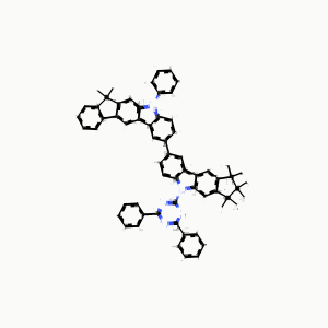 CC1(C)c2ccccc2-c2cc3c4cc(-c5ccc6c(c5)c5cc7c(cc5n6-c5nc(-c6ccccc6)nc(-c6ccccc6)n5)C(C)(C)C(C)(C)C7(C)C)ccc4n(-c4ccccc4)c3cc21